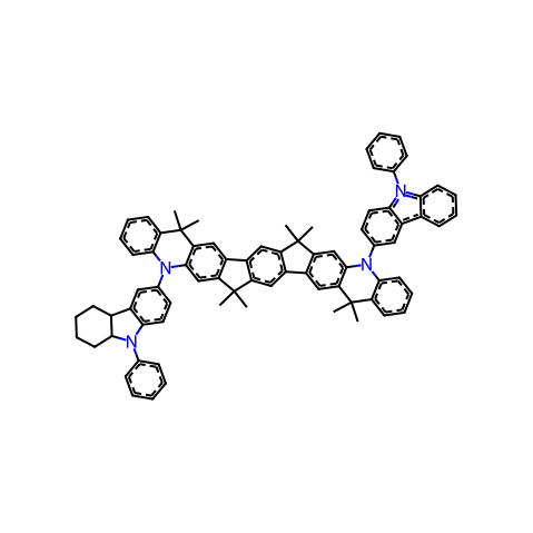 CC1(C)c2cc3c(cc2-c2cc4c(cc21)N(c1ccc2c(c1)C1CCCCC1N2c1ccccc1)c1ccccc1C4(C)C)C(C)(C)c1cc2c(cc1-3)C(C)(C)c1ccccc1N2c1ccc2c(c1)c1ccccc1n2-c1ccccc1